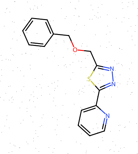 c1ccc(COCc2nnc(-c3ccccn3)s2)cc1